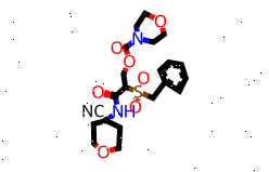 N#CC1(NC(=O)C(COC(=O)N2CCOCC2)S(=O)(=O)Cc2ccccc2)CCOCC1